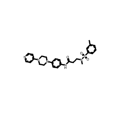 Cc1cccc(S(=O)(=O)N(C)CCC(=O)Nc2ccc(N3CCN(c4ccncc4)CC3)cc2)c1